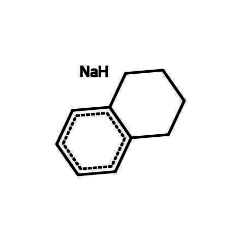 [NaH].c1ccc2c(c1)CCCC2